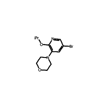 CC(C)Oc1ncc(Br)cc1N1CCOCC1